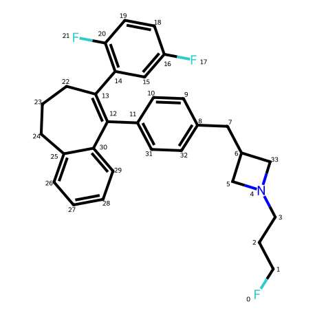 FCCCN1CC(Cc2ccc(C3=C(c4cc(F)ccc4F)CCCc4ccccc43)cc2)C1